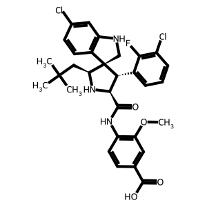 COc1cc(C(=O)O)ccc1NC(=O)[C@H]1N[C@@H](CC(C)(C)C)[C@@]2(CNc3cc(Cl)ccc32)[C@@H]1c1cccc(Cl)c1F